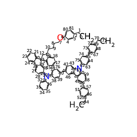 C=Cc1ccc(OCCCCCCC2(c3ccccc3)c3ccccc3-c3ccc(N(c4ccccc4)c4ccc(-c5ccc6c(c5)c5cc(-c7ccc(C=C)cc7)ccc5n6-c5ccc(-c6ccc(C=C)cc6)cc5)cc4)cc32)cc1